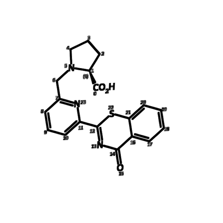 O=C(O)[C@@H]1CCCN1Cc1cccc(-c2nc(=O)c3ccccc3s2)n1